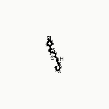 O=C(Cc1ccc(-c2ccc(Cl)cc2)s1)NCCN1CCCC1